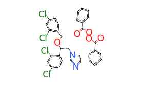 Clc1ccc(COC(Cn2ccnc2)c2ccc(Cl)cc2Cl)c(Cl)c1.O=C(OOC(=O)c1ccccc1)c1ccccc1